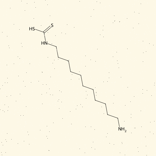 NCCCCCCCCCCCNC(=S)S